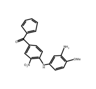 COc1ccc(Nc2ccc(C(=O)c3ccccc3)cc2[N+](=O)[O-])cc1N